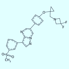 CS(=O)(=O)c1cccc(-c2cnn3cc(-c4ccc(OC5(CN6CC(F)(F)C6)CC5)cc4)cnc23)c1